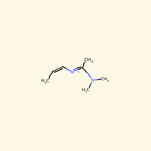 C/C=C\N=C(/C)N(C)C